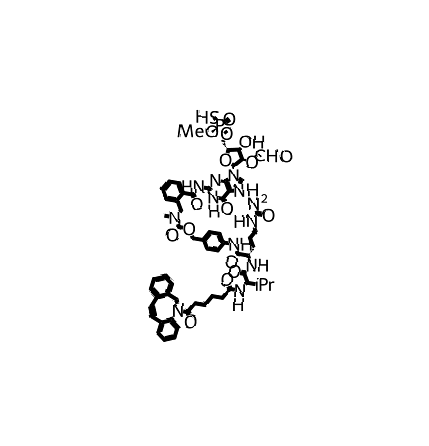 CO[P@](=O)(S)OC[C@H]1O[C@@H](n2cnc3c(=O)[nH]c(NC(=O)c4ccccc4CN(C)C(=O)OCc4ccc(NC(=O)[C@H](CCCNC(N)=O)NC(=O)C(NC(=O)CCCCC(=O)N5Cc6ccccc6C#Cc6ccccc65)C(C)C)cc4)nc32)[C@H](OC=O)[C@@H]1O